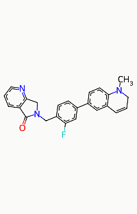 CN1CC=Cc2cc(-c3ccc(CN4Cc5ncccc5C4=O)c(F)c3)ccc21